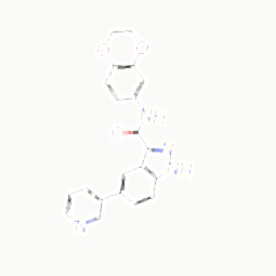 O=C(Nc1ccc2c(c1)OCCO2)c1n[nH]c2ccc(-c3cccnc3)cc12